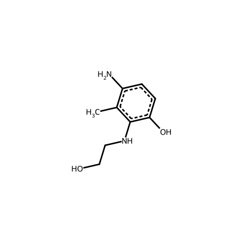 Cc1c(N)ccc(O)c1NCCO